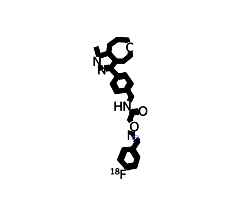 CC1=NN=C(c2ccc(CNC(=O)CO/N=C/c3ccc([18F])cc3)cc2)C2CCCCCCC12